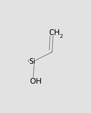 C=C[Si]O